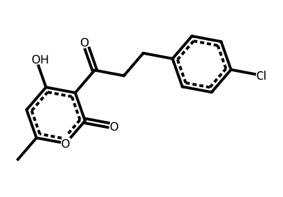 Cc1cc(O)c(C(=O)CCc2ccc(Cl)cc2)c(=O)o1